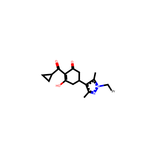 Cc1nn(CC(C)C)c(C)c1C1CC(=O)C(C(=O)C2CC2)=C(O)C1